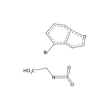 Brc1cccc2occc12.O=C(O)CN=S(=O)=O